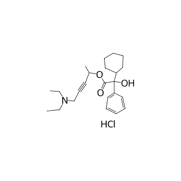 CCN(CC)CC#CC(C)OC(=O)C(O)(c1ccccc1)C1CCCCC1.Cl